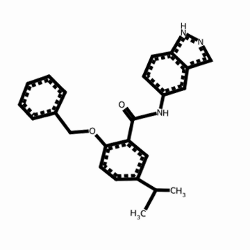 CC(C)c1ccc(OCc2ccccc2)c(C(=O)Nc2ccc3[nH]ncc3c2)c1